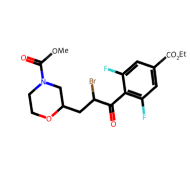 CCOC(=O)c1cc(F)c(C(=O)C(Br)CC2CN(C(=O)OC)CCO2)c(F)c1